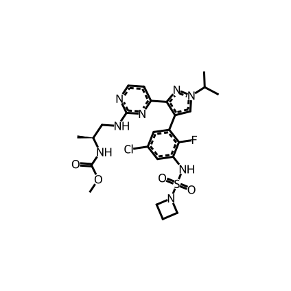 COC(=O)N[C@@H](C)CNc1nccc(-c2nn(C(C)C)cc2-c2cc(Cl)cc(NS(=O)(=O)N3CCC3)c2F)n1